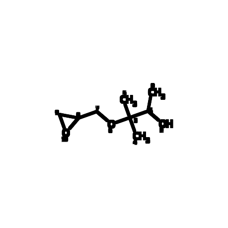 CC(O)C(C)(C)OCC1CO1